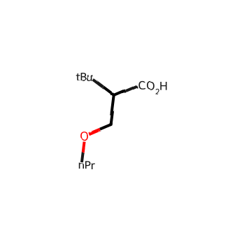 CCCOCC(C(=O)O)C(C)(C)C